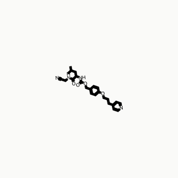 CC(C)CC(NC(=O)OCc1ccc(OCCCc2ccncc2)cc1)C(=O)NCC#N